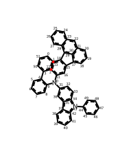 c1ccc(-c2ccccc2N(c2ccc3c(c2)-c2cccc4cc5ccccc5c-3c24)c2ccc3c(c2)c2ccccc2n3-c2ccccc2)cc1